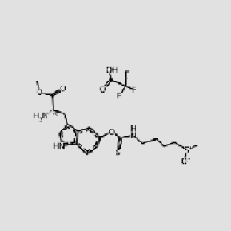 COC(=O)[C@@H](N)Cc1c[nH]c2ccc(OC(=S)NCCCC[S+](C)[O-])cc12.O=C(O)C(F)(F)F